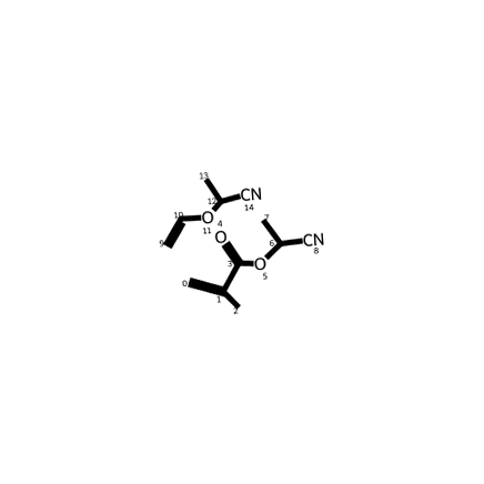 C=C(C)C(=O)OC(C)C#N.C=COC(C)C#N